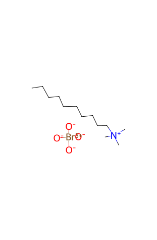 CCCCCCCCCC[N+](C)(C)C.[O-][Br+3]([O-])([O-])[O-]